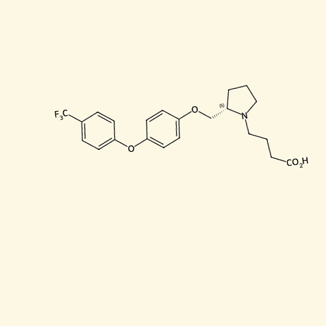 O=C(O)CCCN1CCC[C@H]1COc1ccc(Oc2ccc(C(F)(F)F)cc2)cc1